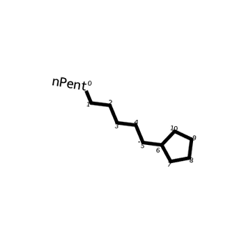 CCCCCCCCC[CH]C1CCCC1